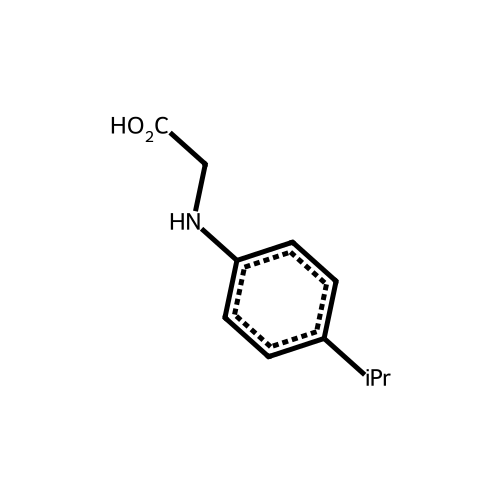 CC(C)c1ccc(NCC(=O)O)cc1